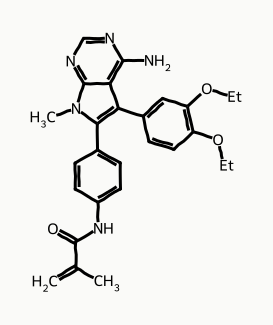 C=C(C)C(=O)Nc1ccc(-c2c(-c3ccc(OCC)c(OCC)c3)c3c(N)ncnc3n2C)cc1